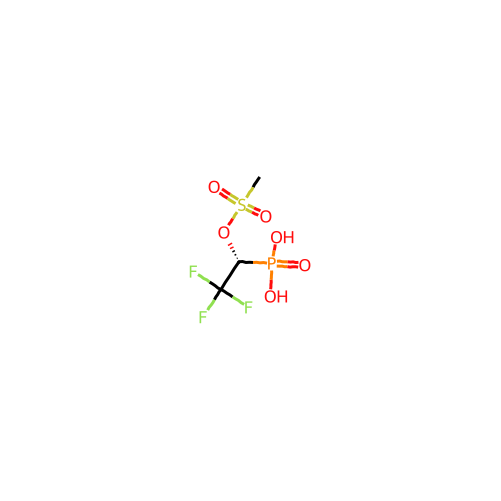 CS(=O)(=O)O[C@@H](C(F)(F)F)P(=O)(O)O